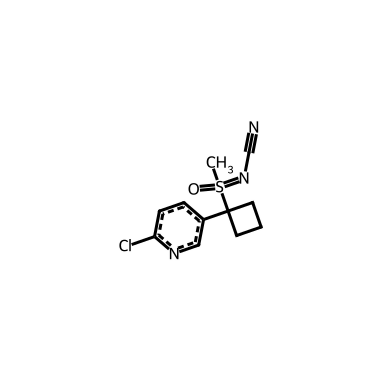 CS(=O)(=NC#N)C1(c2ccc(Cl)nc2)CCC1